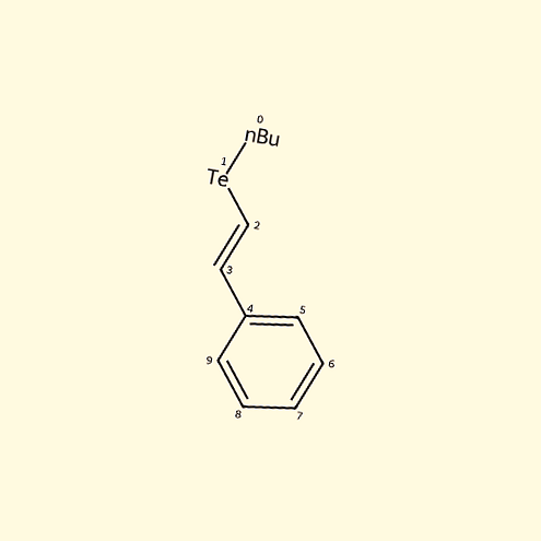 CCCC[Te]C=Cc1ccccc1